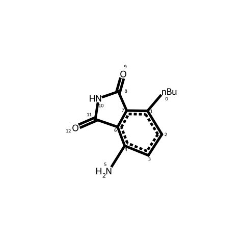 CCCCc1ccc(N)c2c1C(=O)NC2=O